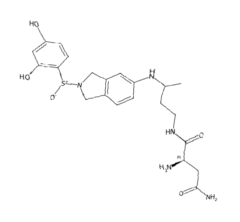 CC(CCNC(=O)[C@H](N)CC(N)=O)Nc1ccc2c(c1)CN([S+]([O-])c1ccc(O)cc1O)C2